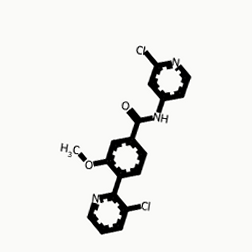 COc1cc(C(=O)Nc2ccnc(Cl)c2)ccc1-c1ncccc1Cl